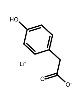 O=C([O-])Cc1ccc(O)cc1.[Li+]